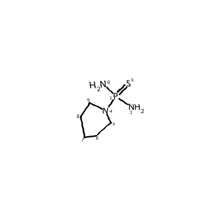 NP(N)(=S)N1CCCCC1